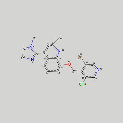 Cc1cc(-c2nccn2C)c2cccc(OCc3c(Cl)cncc3Br)c2n1